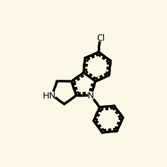 Clc1ccc2c(c1)c1c(n2-c2ccccc2)CNC1